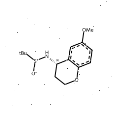 COc1ccc2c(c1)[C@@H](N[S+]([O-])C(C)(C)C)CCO2